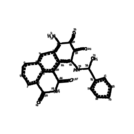 NC1=c2cc3cccc4c3c(c2=C(NC(O)c2ccccc2)C(=O)C1=O)C(=O)NC4=O